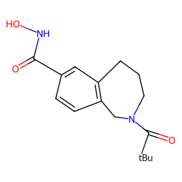 CC(C)(C)C(=O)N1CCCc2cc(C(=O)NO)ccc2C1